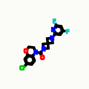 O=C(N1CC2(C1)CN(c1cc(F)cc(F)n1)C2)N1CCOc2cc(Cl)ccc21